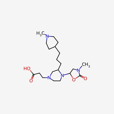 CN1CCC(CCCC2CN(CCC(=O)O)CCN2C2CN(C)C(=O)O2)CC1